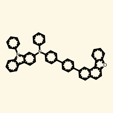 c1ccc(N(c2ccc(-c3ccc(-c4ccc5ccc6oc7ccccc7c6c5c4)cc3)cc2)c2ccc3c4ccccc4n(-c4ccccc4)c3c2)cc1